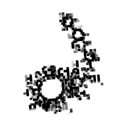 CC[C@H]1OC(=O)[C@H](C)C(=O)[C@H](C)[C@@H](O[C@@H]2O[C@H](C)C[C@H](N(C)CCc3cn([C@H](CF)Cc4ccc(-c5cncnc5)cc4)nn3)[C@H]2O)[C@](C)(OC)C[C@@H](C)C(=O)[C@H](C)[C@H]2N(N)C(=O)O[C@]12C